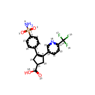 NS(=O)(=O)c1ccc(C2=C(c3ccc(C(F)(F)F)nc3)CC(C(=O)O)C2)cc1